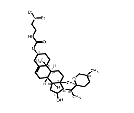 CCN(CC)CCNC(=O)O[C@H]1CC[C@@]2(C)C(=CC[C@H]3[C@@H]4C[C@H](O)[C@H]([C@H](C)C5CC[C@H](C)CO5)[C@@]4(C)CC[C@@H]32)C1